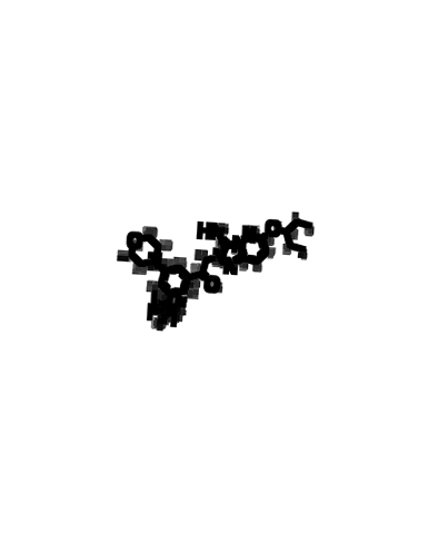 CCC(CC)Oc1ccc2nn(CC(=O)c3cc(N4CCOCC4)cc(S(F)(F)(F)(F)F)c3)c(=N)n2n1